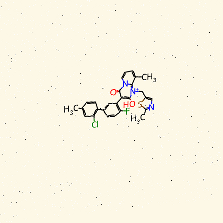 Cc1ccc(-c2ccc(F)c(-c3c(O)[n+](Cc4cnc(C)s4)c4c(C)cccn4c3=O)c2)c(Cl)c1